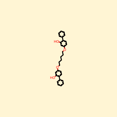 Oc1cc(OCCCCCCOc2ccc(-c3[c]cccc3)c(O)c2)ccc1-c1[c]cccc1